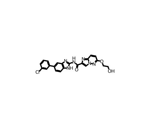 O=C(Nc1nc2cc(-c3cccc(Cl)c3)ccc2[nH]1)c1cn2nc(OCCO)ccc2n1